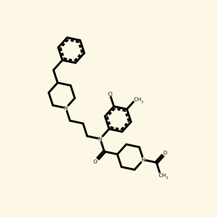 CC(=O)N1CCC(C(=O)N(CCCN2CCC(Cc3ccccc3)CC2)c2ccc(C)c(Cl)c2)CC1